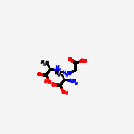 C[C@H](N)C(=O)O.C[C@H](N)C(=O)O.NCC(=O)O